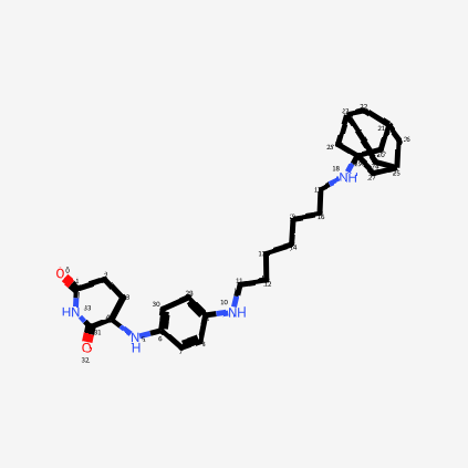 O=C1CCC(Nc2ccc(NCCCCCCCNC34CC5CC(CC(C5)C3)C4)cc2)C(=O)N1